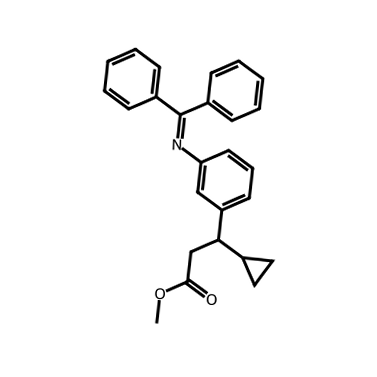 COC(=O)CC(c1cccc(N=C(c2ccccc2)c2ccccc2)c1)C1CC1